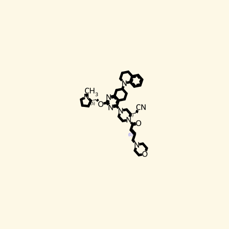 CN1CCC[C@H]1COc1nc2c(c(N3CCN(C(=O)/C=C/CN4CCOCC4)[C@@H](CC#N)C3)n1)CCC(N1CCCc3ccccc31)C2